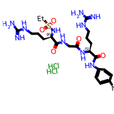 CCS(=O)(=O)N[C@H](CCCNC(=N)N)C(=O)NCC(=O)N[C@@H](CCCNC(=N)N)C(=O)Nc1ccc([N+](=O)[O-])cc1.Cl.Cl